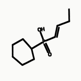 CCC=CP(=O)(O)C1CCCCC1